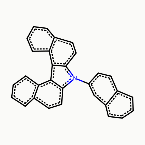 c1ccc2cc(-n3c4ccc5ccccc5c4c4c5ccccc5ccc43)ccc2c1